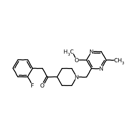 COc1ncc(C)nc1CN1CCC(C(=O)Cc2ccccc2F)CC1